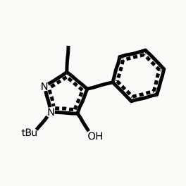 Cc1nn(C(C)(C)C)c(O)c1-c1ccccc1